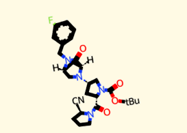 CC(C)(C)OC(=O)N1C[C@@H](N2C[C@@H]3C[C@H]2C(=O)N3Cc2cccc(F)c2)C[C@H]1C(=O)N1CCC[C@H]1C#N